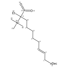 CCCCCCCCCCCC=CCCCCCC(CC)(P(=O)=O)[N+](C)(C)C